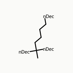 CCCCCCCCCCCCCCC(C)(CCCCCCCCCC)CCCCCCCCCC